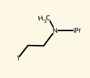 CC(C)N(C)CCI